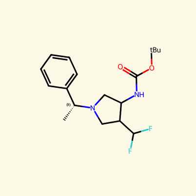 C[C@H](c1ccccc1)N1CC(NC(=O)OC(C)(C)C)C(C(F)F)C1